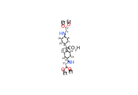 CCOC(CNc1ccc(C(C)(C(=O)O)c2ccc(NCC(OCC)OCC)cc2)cc1)OCC